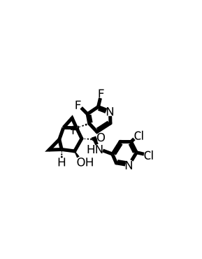 O=C(Nc1cnc(Cl)c(Cl)c1)[C@@H]1[C@@H](O)[C@H]2CC2[C@H]2C[C@]21c1ccnc(F)c1F